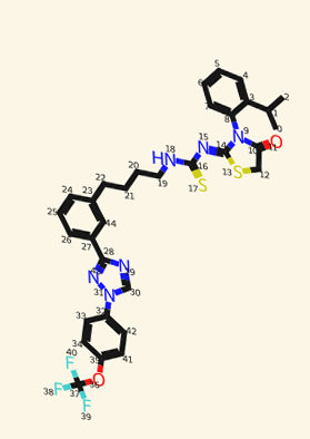 CC(C)c1ccccc1N1C(=O)CS/C1=N\C(=S)NCCCCc1cccc(-c2ncn(-c3ccc(OC(F)(F)F)cc3)n2)c1